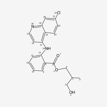 CC(CO)COC(=O)c1ccccc1Nc1ccnc2cc(Cl)ccc12